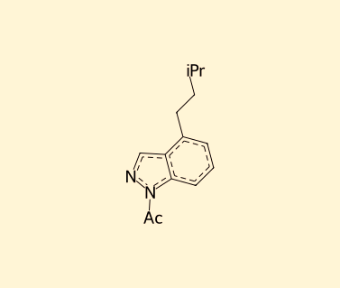 [CH2]C(C)CCc1cccc2c1cnn2C(C)=O